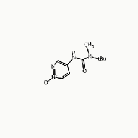 CN(C(=O)Nc1cc[n+]([O-])nc1)C(C)(C)C